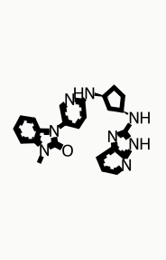 Cn1c(=O)n(-c2ccc(N[C@H]3CC[C@H](Nc4nc5cccnc5[nH]4)C3)nc2)c2ccccc21